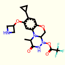 CC1C(=O)NN(OC(=O)C(F)(F)F)C2COc3cc(C4CC4)c(OC4CNC4)cc3N12